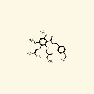 COC(=O)COc1c(CC=C(C)C)c(OC)cc(OC)c1C(=O)CCc1ccc(OC)cc1